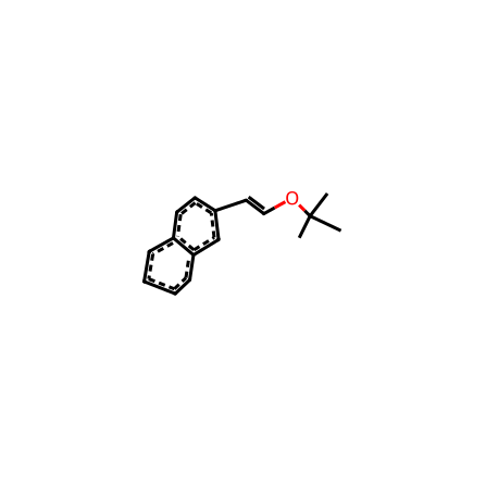 CC(C)(C)OC=Cc1ccc2ccccc2c1